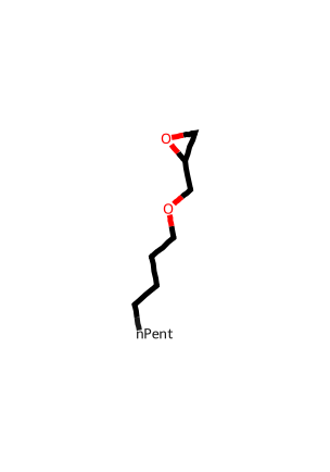 CCCCCCCCCOCC1CO1